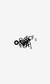 CC(F)(C(O)(F)C(=O)c1ccccc1)C(O)(F)C(F)(F)C(F)(F)C(F)(F)C(F)(F)F